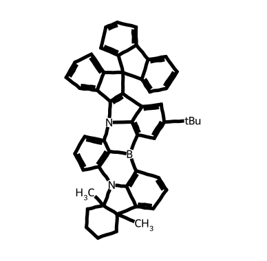 CC(C)(C)c1cc2c3c(c1)c1c(n3-c3cccc4c3B2c2cccc3c2N4C2(C)CCCCC32C)-c2ccccc2C12c1ccccc1-c1ccccc12